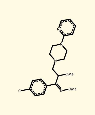 CO/N=C(/c1ccc(Cl)cc1)C(CN1CCN(c2ccccn2)CC1)OC